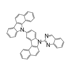 c1ccc2nc(-n3c4ccc(-n5c6ccccc6c6ccc7ccccc7c65)cc4c4c5ccccc5ccc43)ncc2c1